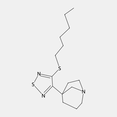 CCCCCCSc1nsnc1C12CCCN(CC1)C2